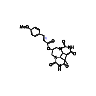 COc1ccc(/C=C/C(=O)OC2CN3C(=O)NC(=O)C4(C)C3C3N(C2)C(=O)NC(=O)C34C)cc1